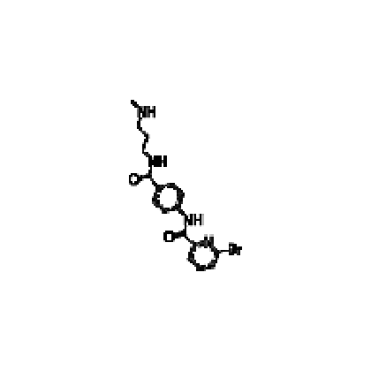 CNCCCNC(=O)c1ccc(NC(=O)c2cccc(Br)n2)cc1